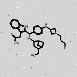 CC(=S)Cc1c([C@@H](NC2CC(CO)C3CC2C3)c2ccc(NC3CN(CCCF)C3)cc2)[nH]c2ccccc12